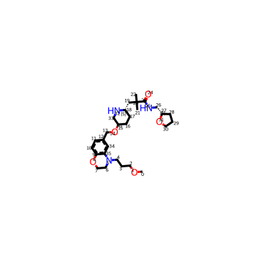 COCCCN1CCOc2ccc(CO[C@@H]3CC[C@@H](CC(C)(C)C(=O)NC[C@@H]4CCCO4)NC3)cc21